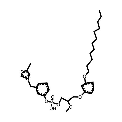 CCCCCCCCCCCCOc1cccc(OCC(COP(=O)(O)Oc2cccc(C[n+]3csc(C)c3)c2)OC)c1